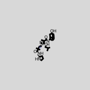 CC(C)COc1c(C(=O)NC2C3CC4CC2CC(O)(C4)C3)cnn1/C=C/C(C)(C)C(=O)NC[C@H]1CCCN1